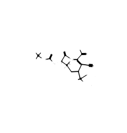 C#CC1=C(C(=O)O)N2C(=O)[C@@H](NC(=O)OC(C)(C)C)[C@H]2CC1C(C)(C)C